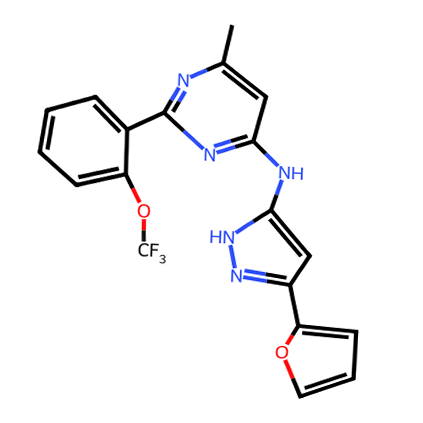 Cc1cc(Nc2cc(-c3ccco3)n[nH]2)nc(-c2ccccc2OC(F)(F)F)n1